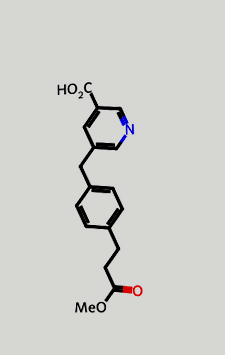 COC(=O)CCc1ccc(Cc2cncc(C(=O)O)c2)cc1